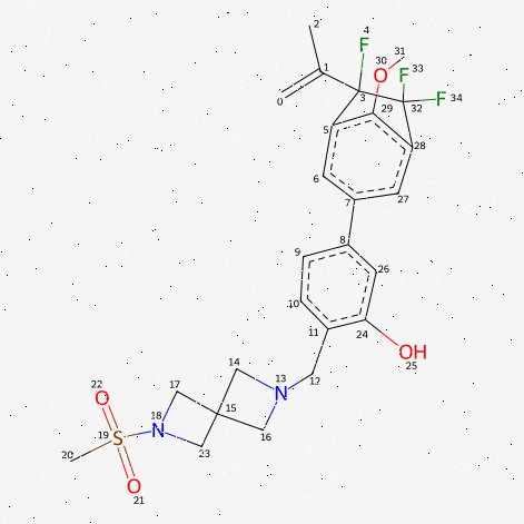 C=C(C)C1(F)c2cc(-c3ccc(CN4CC5(C4)CN(S(C)(=O)=O)C5)c(O)c3)cc(c2OC)C1(F)F